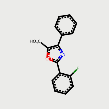 O=C(O)c1oc(-c2ccccc2F)nc1-c1ccccc1